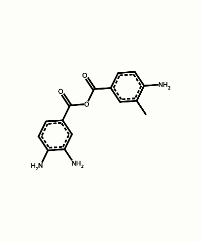 Cc1cc(C(=O)OC(=O)c2ccc(N)c(N)c2)ccc1N